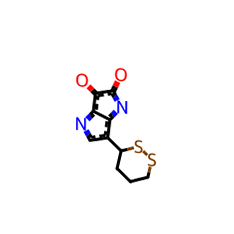 O=c1nc2c(C3CCCSS3)cnc-2c1=O